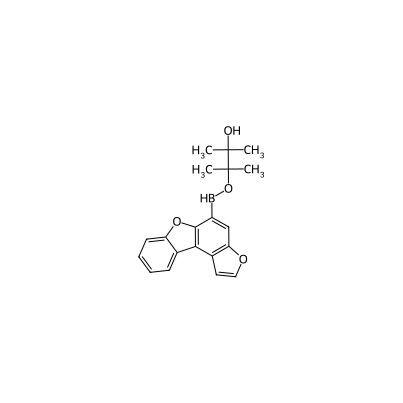 CC(C)(O)C(C)(C)OBc1cc2occc2c2c1oc1ccccc12